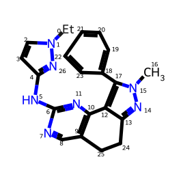 CCn1ccc(Nc2ncc3c(n2)-c2c(nn(C)c2-c2ccccc2)CC3)n1